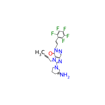 CC#CCn1c(N2CCC[C@@H](N)C2)nc2cnn(CC=Cc3c(F)c(F)c(F)c(F)c3F)c(=O)c21